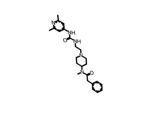 Cc1cc(NC(=O)NCCN2CCC(N(C)C(=O)Cc3ccccc3)CC2)cc(C)n1